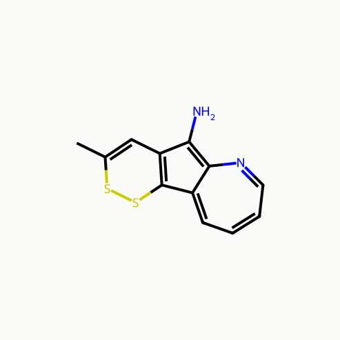 CC1=Cc2c(N)c3nccccc-3c2SS1